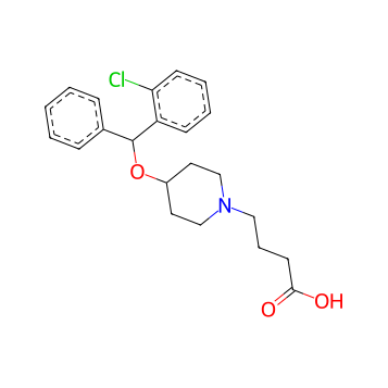 O=C(O)CCCN1CCC(OC(c2ccccc2)c2ccccc2Cl)CC1